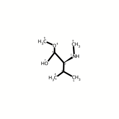 CN[C@@H](C(C)C)C(O)OC